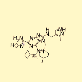 Cc1n[nH]cc1CNc1nc2nc(/C(N)=N/O)nc(N[C@H](C)C3CCC3)c2n1C[C@H]1CC[C@H](C)CC1